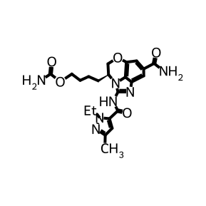 CCn1nc(C)cc1C(=O)Nc1nc2cc(C(N)=O)cc3c2n1[C@@H](CCCCOC(N)=O)CO3